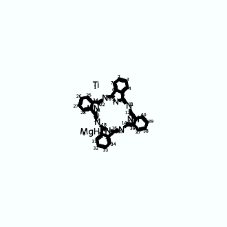 [MgH2].[Ti].c1ccc2c(c1)-c1nc-2nc2[nH]c(nc3nc(nc4[nH]c(n1)c1ccccc41)-c1ccccc1-3)c1ccccc21